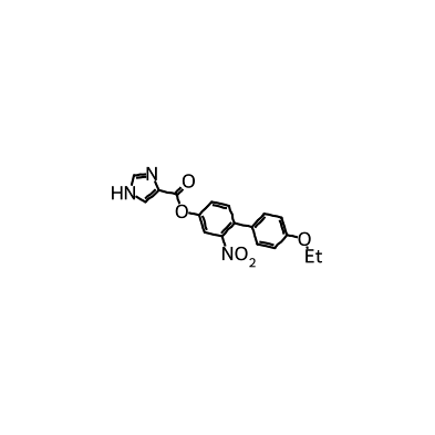 CCOc1ccc(-c2ccc(OC(=O)c3c[nH]cn3)cc2[N+](=O)[O-])cc1